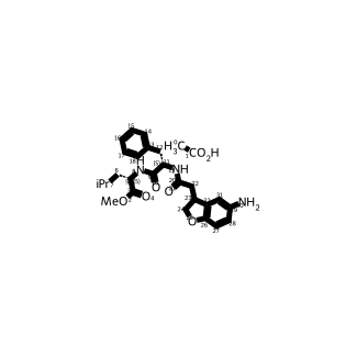 CC(=O)O.COC(=O)[C@H](CC(C)C)NC(=O)[C@H](Cc1ccccc1)NC(=O)CC1COc2ccc(N)cc21